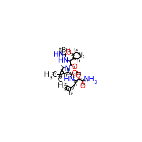 CC(C)(C)NC(=O)NC(C(=O)N1CC2C([C@H]1C(=O)NC(CC1CCC1)C(=O)C(N)=O)C2(C)C)C1CCCCC1